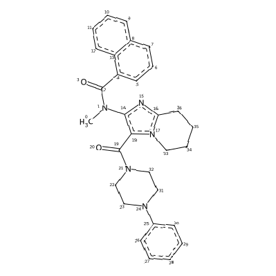 CN(C(=O)c1cccc2ccccc12)c1nc2n(c1C(=O)N1CCN(c3ccccc3)CC1)CCCC2